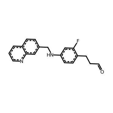 O=CCCc1ccc(NCc2ccc3cccnc3c2)cc1F